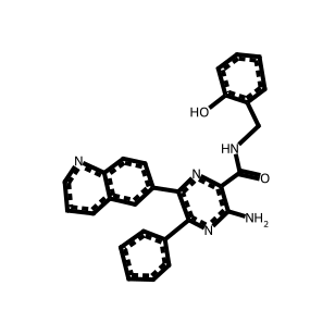 Nc1nc(-c2ccccc2)c(-c2ccc3ncccc3c2)nc1C(=O)NCc1ccccc1O